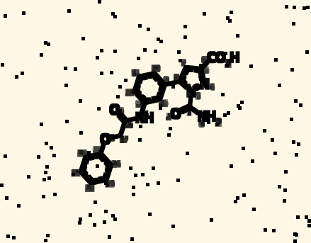 NC(=O)n1nc(C(=O)O)cc1-c1cccc(NC(=O)COc2ccccc2)c1